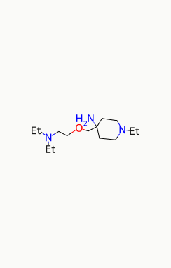 CCN(CC)CCOCC1(N)CCN(CC)CC1